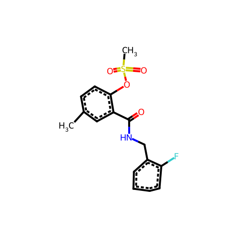 Cc1ccc(OS(C)(=O)=O)c(C(=O)NCc2ccccc2F)c1